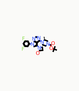 C[C@H]1CN(C(=O)OC(C)(C)C)CCN1c1ncnc2c1c(N1CCC1=O)cn2-c1cc(F)cc(F)c1